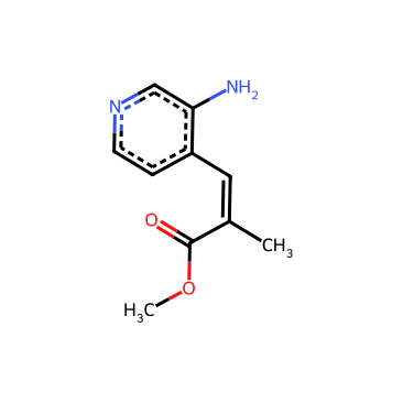 COC(=O)C(C)=Cc1ccncc1N